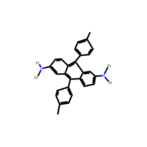 CCN(CC)c1ccc2c(-c3ccc(C)cc3)c3cc(N(CC)CC)ccc3c(-c3ccc(C)cc3)c2c1